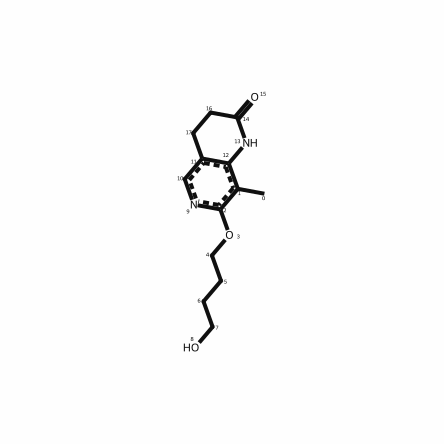 Cc1c(OCCCCO)ncc2c1NC(=O)CC2